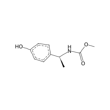 COC(=O)N[C@@H](C)c1ccc(O)cc1